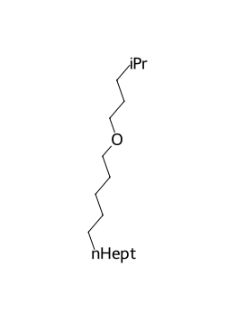 CCCCCCCCCCCCOCCCC(C)C